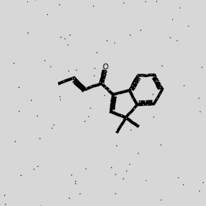 C/C=C/C(=O)C1=CC(C)(C)c2ccccc21